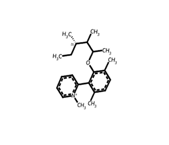 CC[C@H](C)C(C)C(C)Oc1c(C)ccc(C)c1-c1cccc[n+]1C